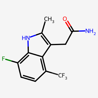 Cc1[nH]c2c(F)ccc(C(F)(F)F)c2c1CC(N)=O